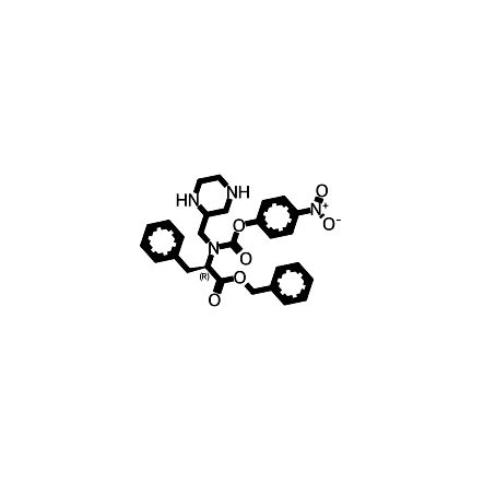 O=C(OCc1ccccc1)[C@@H](Cc1ccccc1)N(CC1CNCCN1)C(=O)Oc1ccc([N+](=O)[O-])cc1